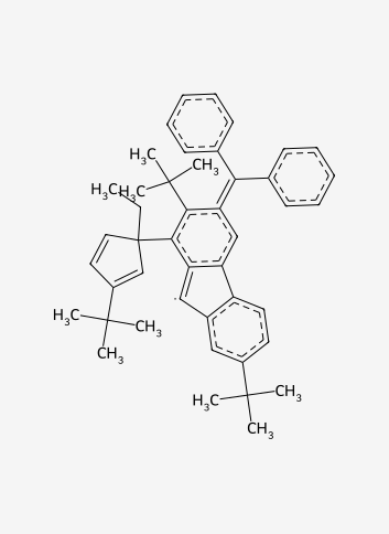 CCC1(c2c(C(C)(C)C)c(=C(c3ccccc3)c3ccccc3)cc3c2=[C]c2cc(C(C)(C)C)ccc2-3)C=CC(C(C)(C)C)=C1